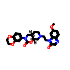 COc1ccc2ncc(=O)n(CCN3CC[C@@H]4CN(c5ccc6c(c5)OCCO6)C(=O)O[C@H]4C3)c2c1